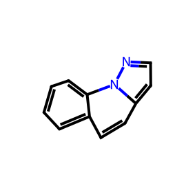 c1ccc2c(c1)ccc1ccnn12